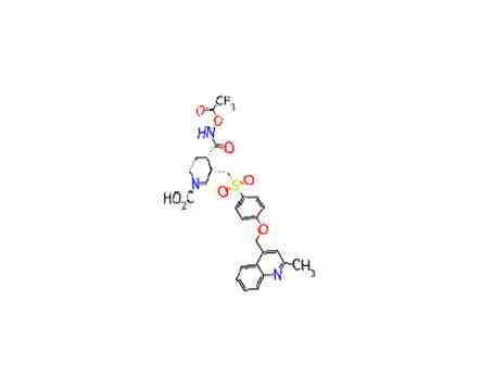 Cc1cc(COc2ccc(S(=O)(=O)C[C@@H]3CN(C(=O)O)CC[C@@H]3C(=O)NOC(=O)C(F)(F)F)cc2)c2ccccc2n1